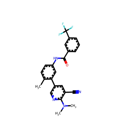 Cc1ccc(NC(=O)c2cccc(C(F)(F)F)c2)cc1-c1cnc(N(C)C)c(C#N)c1